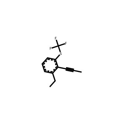 CC#Cc1c(CC)cccc1SC(F)(F)F